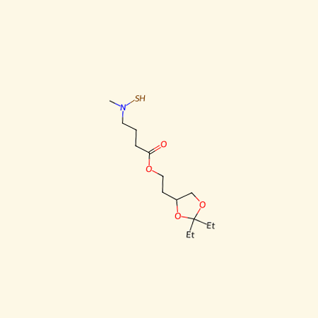 CCC1(CC)OCC(CCOC(=O)CCCN(C)S)O1